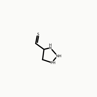 S=CC1CPNN1